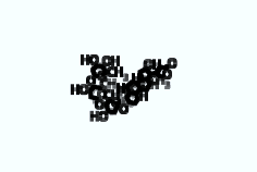 C[C@H]1O[C@@H](O[C@H]2[C@@H](O)C[C@H](O[C@H]3[C@@H](O)C[C@H](O[C@H]4CC[C@@]5(C)[C@H](CC[C@@H]6[C@@H]5CC[C@]5(C)C(C7=CC(=O)OC7)[C@@H](O)C[C@]65O)C4)O[C@@H]3C)O[C@@H]2C)C[C@H](O)[C@@H]1O